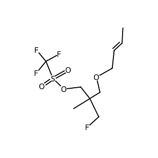 C/C=C/COCC(C)(CF)COS(=O)(=O)C(F)(F)F